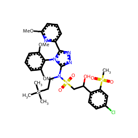 COc1cccc(-c2nnc(N(CC[Si](C)(C)C)S(=O)(=O)CC(O)c3ccc(Cl)cc3S(C)(=O)=O)n2-c2c(OC)cccc2OC)n1